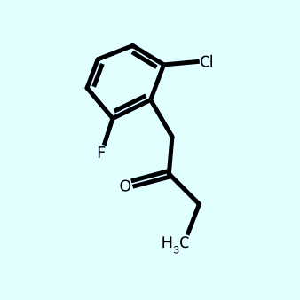 CCC(=O)Cc1c(F)cccc1Cl